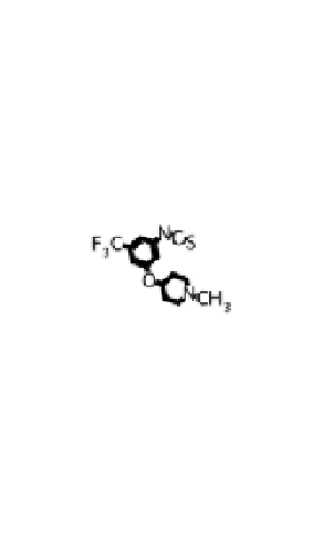 CN1CCC(Oc2cc(N=C=S)cc(C(F)(F)F)c2)CC1